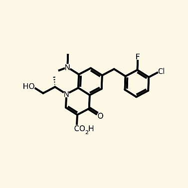 C[C@@H](CO)n1cc(C(=O)O)c(=O)c2cc(Cc3cccc(Cl)c3F)cc(N(C)C)c21